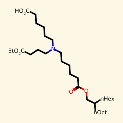 CCCCCCCCC(CCCCCC)COC(=O)CCCCCN(CCCCCC(=O)O)CCCC(=O)OCC